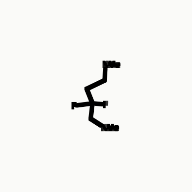 CNCCC(F)(F)CNC